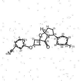 N#Cc1ccnc(OC2CC3(C2)O[C@@H]2CC[C@@H](c4ccc(F)cc4)N2C3=O)c1